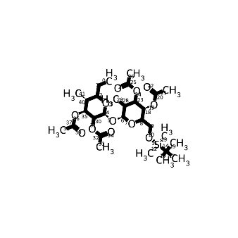 CCC1O[C@H](O[C@H]2OC(CO[Si](C)(C)C(C)(C)C)[C@@H](OC(C)=O)C(OC(C)=O)C2C)C(OC(C)=O)[C@@H](OC(C)=O)[C@@H]1C